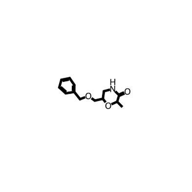 CC1OC(COCc2ccccc2)CNC1=O